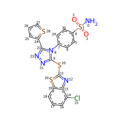 NS(=O)(=O)c1ccc(-n2c(Sc3nc4c(Cl)cccc4s3)nnc2-c2cccs2)cc1